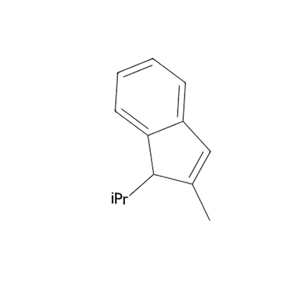 CC1=Cc2ccccc2C1C(C)C